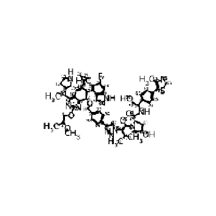 COC(C)COc1nc(N(C)[C@@H]2CCNC2)c2cc(C3CC3)c(-c3c(C)c(F)cc4[nH]ncc34)c(OCc3ccc(-c4cn(C(C(=O)N5C[C@H](O)C[C@H]5C(=O)NC(CO)c5ccc(-c6scnc6C)cc5)C(C)C)nn4)cc3)c2n1